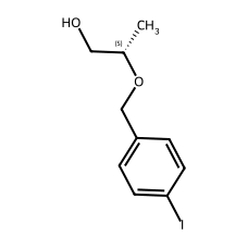 C[C@@H](CO)OCc1ccc(I)cc1